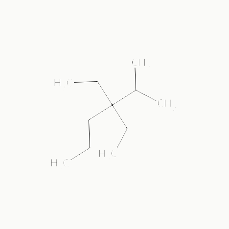 [CH2]C(C)C(CC)(CC)CCC